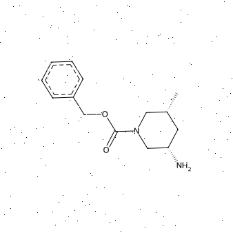 C[C@@H]1C[C@H](N)CN(C(=O)OCc2ccccc2)C1